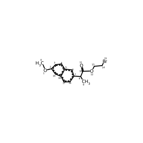 COc1ccc2cc(C(C)C(=O)OCCBr)ccc2c1